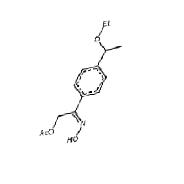 CCOC(C)c1ccc(C(COC(C)=O)=NO)cc1